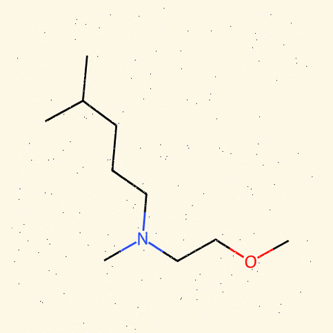 COCCN(C)CCCC(C)C